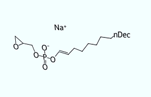 CCCCCCCCCCCCCCCCC=COP(=O)([O-])OCC1CO1.[Na+]